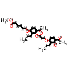 CCCc1c(OCCCOc2c(C(C)=O)ccc(OCCCCCC(=O)OC)c2CCC)ccc(C(C)=O)c1O